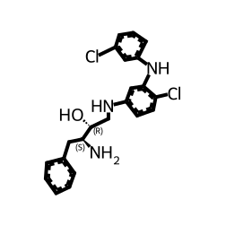 N[C@@H](Cc1ccccc1)[C@H](O)CNc1ccc(Cl)c(Nc2cccc(Cl)c2)c1